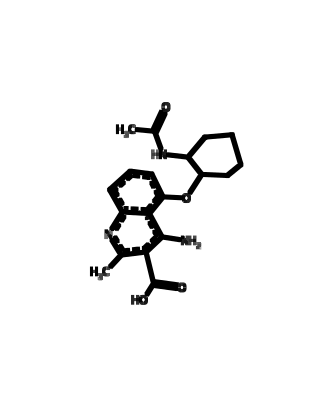 CC(=O)NC1CCCCC1Oc1cccc2nc(C)c(C(=O)O)c(N)c12